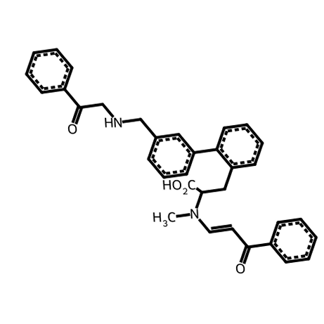 CN(C=CC(=O)c1ccccc1)C(Cc1ccccc1-c1cccc(CNCC(=O)c2ccccc2)c1)C(=O)O